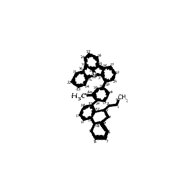 CCCC1CC2=CC=CCC2c2cccc(-c3ccc(-c4cccc5c6cccc7c8ccccc8n(c45)c76)cc3C)c21